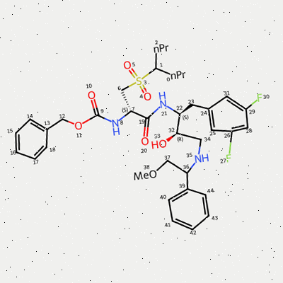 CCCC(CCC)S(=O)(=O)C[C@@H](NC(=O)OCc1ccccc1)C(=O)N[C@@H](Cc1cc(F)cc(F)c1)[C@H](O)CNC(COC)c1ccccc1